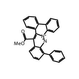 COC(=O)c1c2cccc(-c3ccccc3)c2n[n+]2c3ccccc3c3ccccc3c12